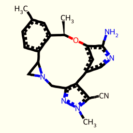 Cc1ccc2c(c1)[C@@H](C)Oc1cc(cnc1N)-c1c(nn(C)c1C#N)CN1CC21